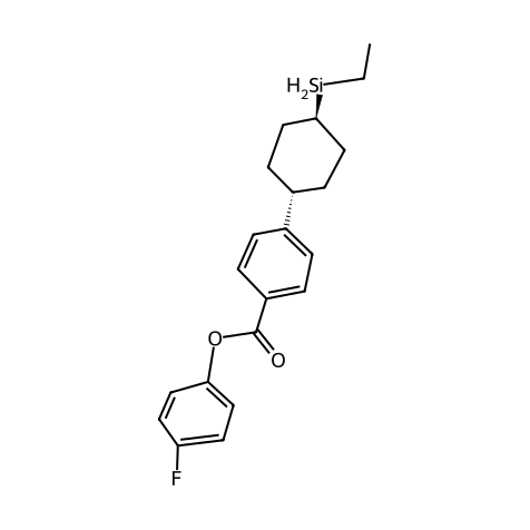 CC[SiH2][C@H]1CC[C@H](c2ccc(C(=O)Oc3ccc(F)cc3)cc2)CC1